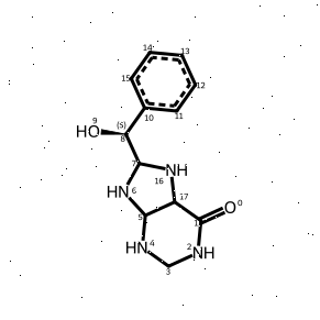 O=C1NCNC2NC([C@@H](O)c3ccccc3)NC12